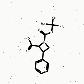 CC(C)(C)OC(=O)N1CC(c2ccccc2)C1C(=O)O